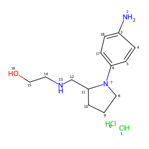 Cl.Cl.Nc1ccc(N2CCCC2CNCCO)cc1